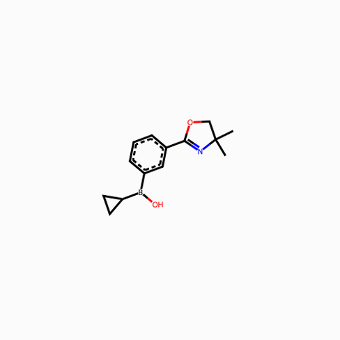 CC1(C)COC(c2cccc(B(O)C3CC3)c2)=N1